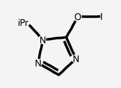 CC(C)n1ncnc1OI